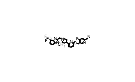 Cn1c(CN2CCC(c3cccc(OCc4cnc(C#N)cc4F)n3)CC2)nc2c(OC(F)F)cccc21